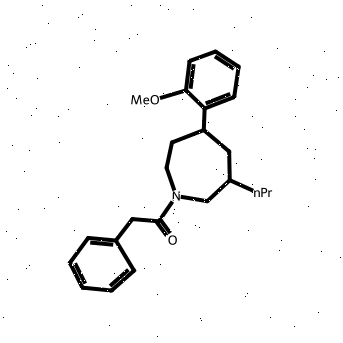 CCCC1CC(c2ccccc2OC)CCN(C(=O)Cc2ccccc2)C1